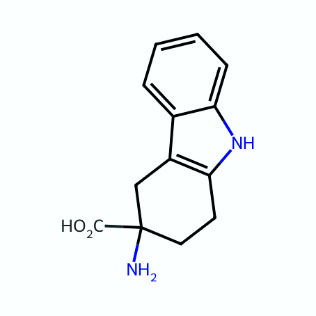 NC1(C(=O)O)CCc2[nH]c3ccccc3c2C1